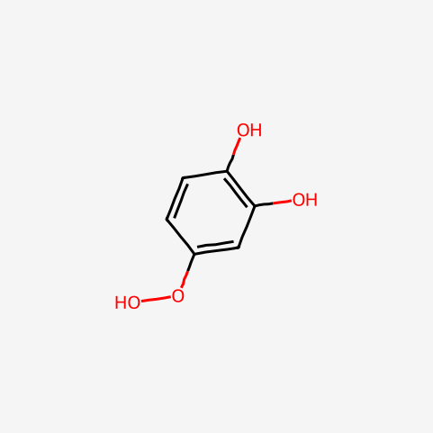 OOc1ccc(O)c(O)c1